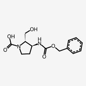 O=C(N[C@H]1CCN(C(=O)O)[C@@H]1CO)OCc1ccccc1